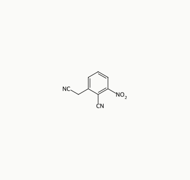 N#CCc1cccc([N+](=O)[O-])c1C#N